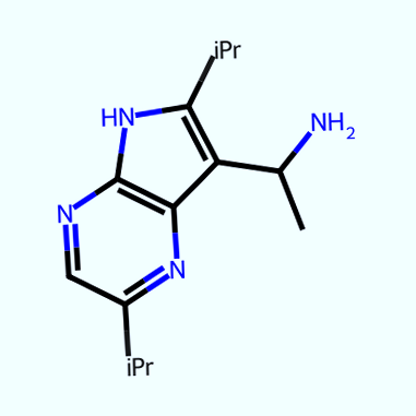 CC(C)c1cnc2[nH]c(C(C)C)c(C(C)N)c2n1